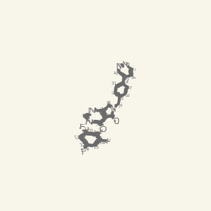 O=C1c2c(ncnc2Oc2c(F)cc(F)cc2F)CN1Cc1ccc(-c2ccnnc2)cc1